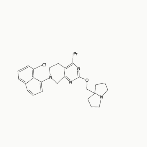 CC(C)c1nc(OCC23CCCN2CCC3)nc2c1CCN(c1cccc3cccc(Cl)c13)C2